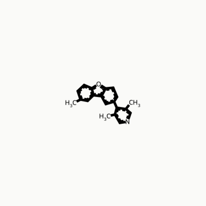 Cc1ccc2oc3ccc(-c4c(C)cncc4C)cc3c2c1